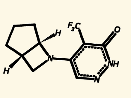 O=c1[nH]ncc(N2C[C@@H]3CCC[C@H]32)c1C(F)(F)F